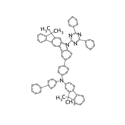 CC1(C)c2ccccc2-c2ccc(N(c3ccc(-c4ccccc4)cc3)c3ccc(-c4ccc5c(c4)c4cc6c(cc4n5-c4nc(-c5ccccc5)nc(-c5ccccc5)n4)C(C)(C)c4ccccc4-6)cc3)cc21